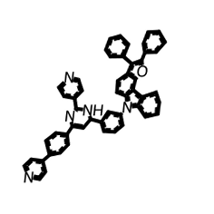 C1=C(c2ccc(-c3ccncc3)cc2)N=C(c2ccncc2)NC1c1cccc(-n2c3ccccc3c3c4oc(-c5ccccc5)c(-c5ccccc5)c4ccc32)c1